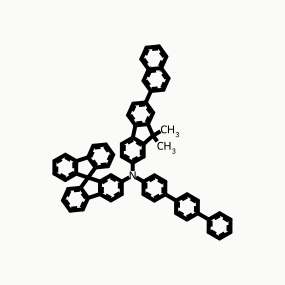 CC1(C)c2cc(-c3ccc4ccccc4c3)ccc2-c2ccc(N(c3ccc(-c4ccc(-c5ccccc5)cc4)cc3)c3ccc4c(c3)C3(c5ccccc5-c5ccccc53)c3ccccc3-4)cc21